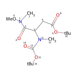 CON(C)C(=O)C(CC(=O)OC(C)(C)C)N(C)C(=O)OC(C)(C)C